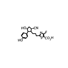 N#C[C@@H]1C[C@@H](O)C(c2ccc(O)cc2)C1CCCc1nc(F)c(C(=O)O)s1